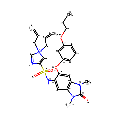 C=CC[N+]1(CC=C)C=NC(S(=O)(=O)Nc2cc3c(cc2Oc2cccc(OCCC)c2)n(C)c(=O)n3C)=C1